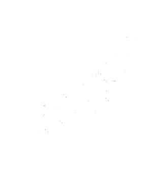 Cn1cc(-c2ccnc(-n3ncc4c5c(sc4c3=O)CCCC5)c2CO)cc(Nc2ccccn2)c1=O